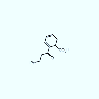 CC(C)CCC(=O)C1=CC=CCC1C(=O)O